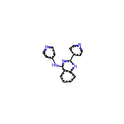 c1ccc2c(Nc3ccncc3)nc(-c3ccncc3)nc2c1